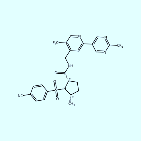 C[C@H]1CC[C@@H](C(=O)NCc2cc(-c3cnc(C(F)(F)F)nc3)ncc2C(F)(F)F)N1S(=O)(=O)c1ccc(C#N)cc1